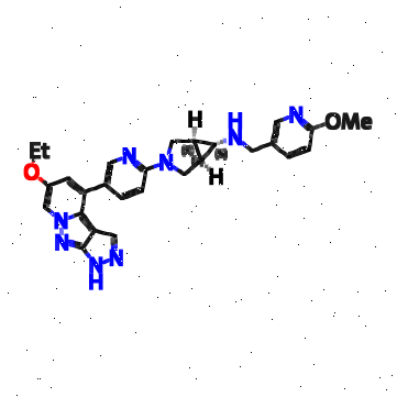 CCOc1cc(-c2ccc(N3C[C@@H]4[C@H](C3)[C@H]4NCc3ccc(OC)nc3)nc2)c2c3cn[nH]c3nn2c1